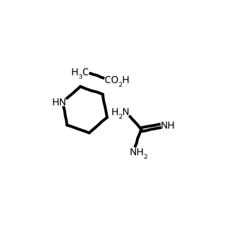 C1CCNCC1.CC(=O)O.N=C(N)N